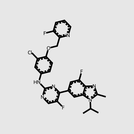 Cc1nc2c(F)cc(-c3nc(Nc4ccc(OCc5ncccc5F)c(Cl)c4)ncc3F)cc2n1C(C)C